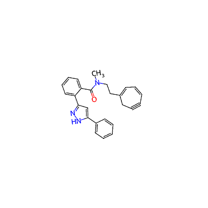 CN(CCC1=CC=CC#CC1)C(=O)c1ccccc1-c1cc(-c2ccccc2)[nH]n1